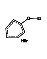 Br.CCOc1ccccc1